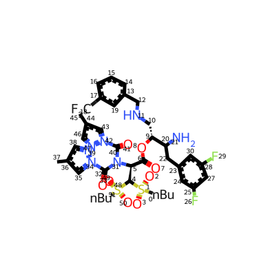 CCCCS(=O)(=O)C([C@H](C(=O)O[C@H](CNCc1cccc(C(F)(F)F)c1)C(N)Cc1cc(F)cc(F)c1)N(C(=O)n1cc(C)cn1)C(=O)n1cc(C)cn1)S(=O)(=O)CCCC